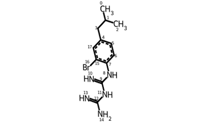 CC(C)Cc1ccc(NC(=N)NC(=N)N)c(Br)c1